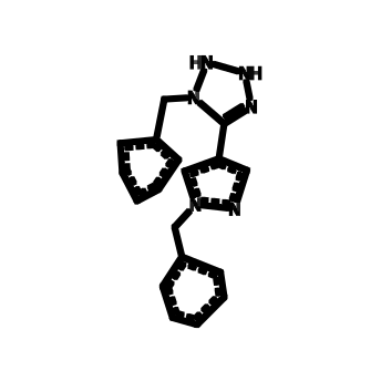 c1ccc(CN2NNN=C2c2cnn(Cc3ccccc3)c2)cc1